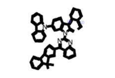 C=c1/c(=c2/cccc/c2=C/C)c2ccc(-n3c4ccccc4c4ccccc43)cc2n1-c1nc(-c2ccc3c(c2)C(C)(C)c2ccccc2-3)c2ccccc2n1